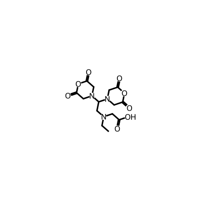 CCN(CC(=O)O)CC(N1CC(=O)OC(=O)C1)N1CC(=O)OC(=O)C1